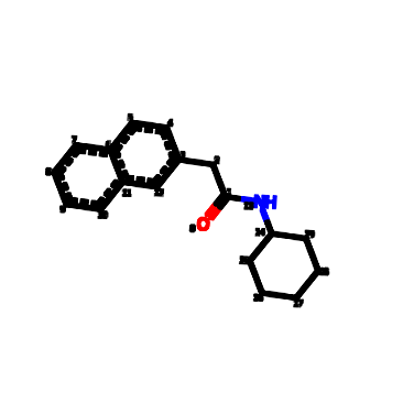 O=C(Cc1ccc2ccccc2c1)NC1CCCCC1